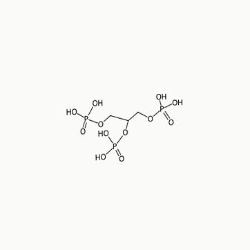 O=P(O)(O)OCC(COP(=O)(O)O)OP(=O)(O)O